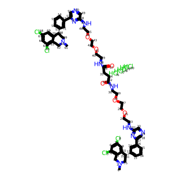 CN1Cc2c(Cl)cc(Cl)cc2[C@H](c2cccc(-c3cncc(NCCOCCOCCNC(=O)CCC(=O)NCCOCCOCCNc4cncc(-c5cccc([C@@H]6CN(C)Cc7c(Cl)cc(Cl)cc76)c5)n4)n3)c2)C1.Cl.Cl.Cl.Cl.Cl